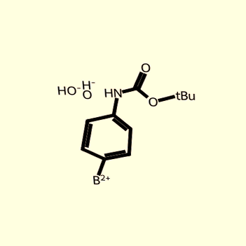 [B+2]c1ccc(NC(=O)OC(C)(C)C)cc1.[OH-].[OH-]